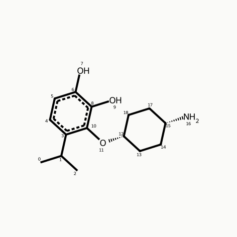 CC(C)c1ccc(O)c(O)c1O[C@H]1CC[C@@H](N)CC1